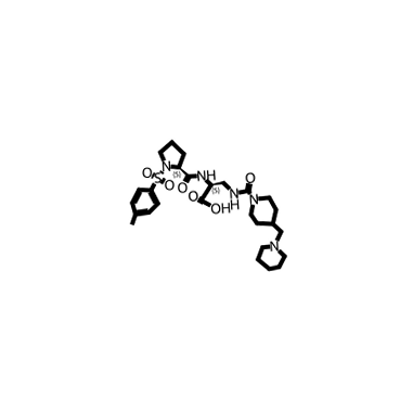 Cc1ccc(S(=O)(=O)N2CCC[C@H]2C(=O)N[C@@H](CNC(=O)N2CCC(CN3CCCCC3)CC2)C(=O)O)cc1